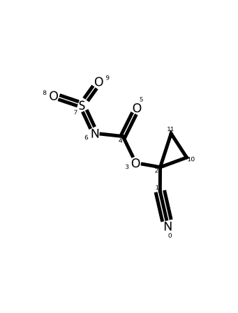 N#CC1(OC(=O)N=S(=O)=O)CC1